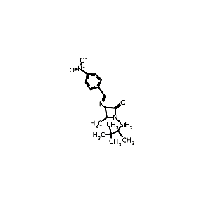 CC1C(N=Cc2ccc([N+](=O)[O-])cc2)C(=O)N1[SiH2]C(C)C(C)(C)C